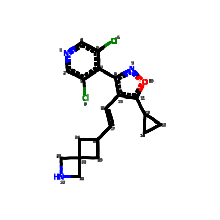 Clc1cncc(Cl)c1-c1noc(C2CC2)c1/C=C/C1CC2(CNC2)C1